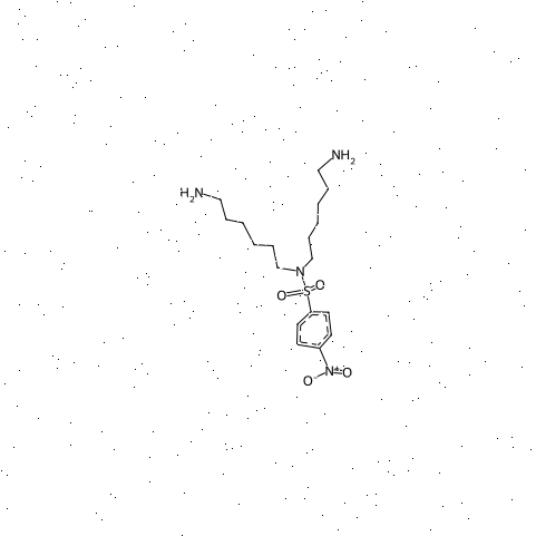 NCCCCCCN(CCCCCCN)S(=O)(=O)c1ccc([N+](=O)[O-])cc1